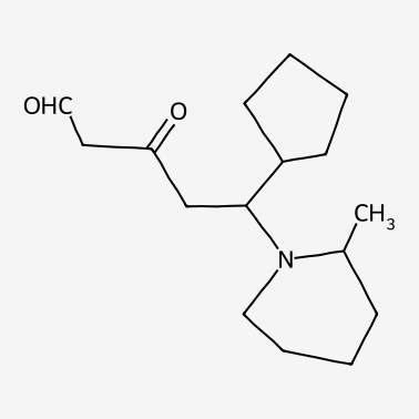 CC1CCCCN1C(CC(=O)CC=O)C1CCCC1